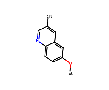 CCOc1ccc2ncc(C#N)cc2c1